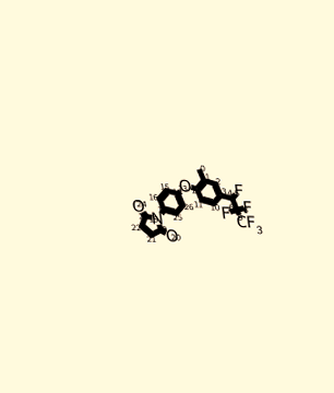 Cc1cc(C(F)C(F)(F)C(F)(F)F)ccc1Oc1ccc(N2C(=O)C=CC2=O)cc1